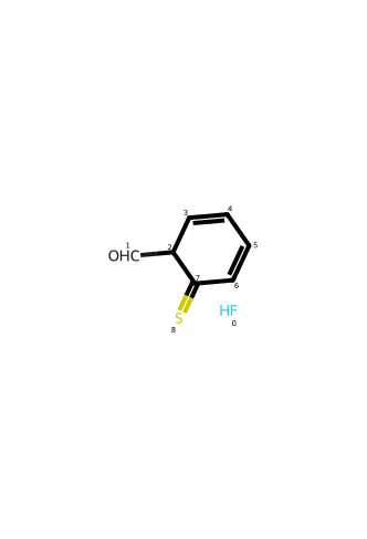 F.O=CC1C=CC=CC1=S